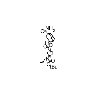 C=CCN(C(=O)OC(C)(C)C)[C@@H]1CCN(C(=O)O[C@H]2C3CC4CC2C[C@](C(N)=O)(C4)C3)C1